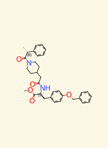 COC(=O)[C@H](Cc1ccc(OCc2ccccc2)cc1)NC(=O)CC1CCN(C(=O)[C@H](C)c2ccccc2)CC1